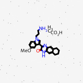 CC(=O)O.COc1ccc2c(c1)c(-c1nc3cc4c(cc3[nH]c1=O)CCCC4)cn2CCCN